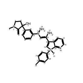 C=C1N(C)CCC1(O)c1cccc(N(N)/C=C(\N)C2=CS(F)(c3ccc(C)cc3)c3ncccc32)c1